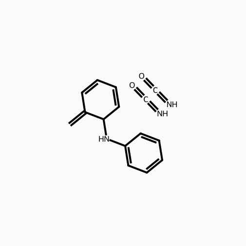 C=C1C=CC=CC1Nc1ccccc1.N=C=O.N=C=O